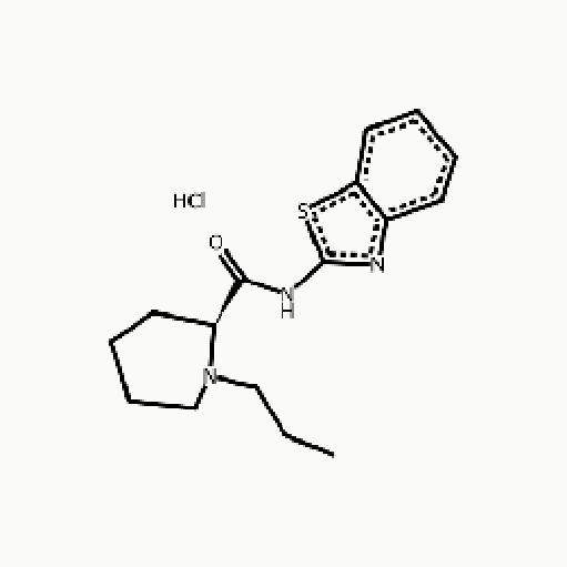 CCCN1CCCC[C@H]1C(=O)Nc1nc2ccccc2s1.Cl